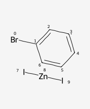 Brc1c[c]ccc1.[I][Zn][I]